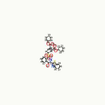 O=C(/C(=N\OS(=O)(=O)C1CC2CC1C(C(=O)OC1CCCCC1)C2C(=O)OC1CCCCC1)c1nc2ccccc2s1)c1ccccc1